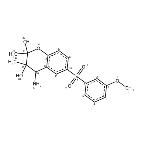 COc1cccc(S(=O)(=O)c2ccc3c(c2)C(N)C(C)(O)C(C)(C)O3)c1